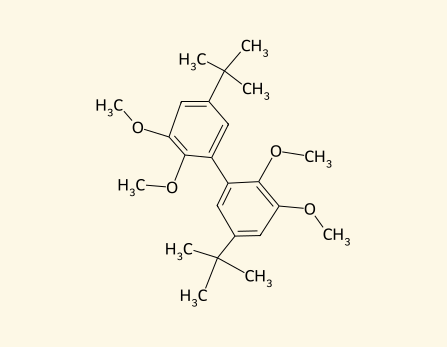 COc1cc(C(C)(C)C)cc(-c2cc(C(C)(C)C)cc(OC)c2OC)c1OC